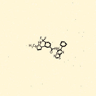 CN1C=CC(c2cc(C(=O)Nc3c(-c4ccccc4)nc4scnn34)ccc2C(F)(F)F)N1